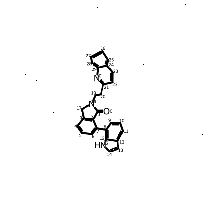 O=C1c2c(cccc2-c2cccc3cc[nH]c23)CN1CCc1ccc2ccccc2n1